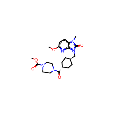 COC(=O)N1CCN(C(=O)[C@H]2CC[C@H](Cn3c(=O)n(C)c4ccc(OC)nc43)CC2)CC1